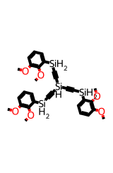 COc1cccc([SiH2]C#C[SiH](C#C[SiH2]c2cccc(OC)c2OC)C#C[SiH2]c2cccc(OC)c2OC)c1OC